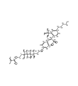 C=C(C)C(=O)OCCC(F)(F)C(F)(F)C(F)(F)C(F)(F)CCOc1ccc2cc(-c3ccc(CCCCC)cc3C(F)(F)F)c(=O)oc2c1